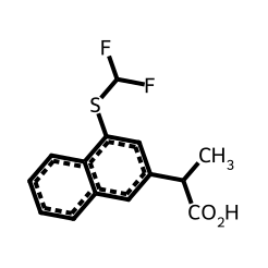 CC(C(=O)O)c1cc(SC(F)F)c2ccccc2c1